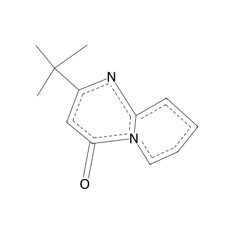 CC(C)(C)c1cc(=O)n2ccccc2n1